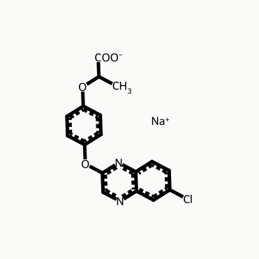 CC(Oc1ccc(Oc2cnc3cc(Cl)ccc3n2)cc1)C(=O)[O-].[Na+]